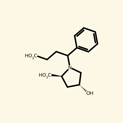 O=C(O)CCC(c1ccccc1)N1C[C@H](O)C[C@H]1C(=O)O